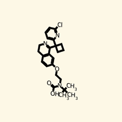 CC(C)(C)N(CCOc1ccc2c(c1)C(C1(c3cccc(Cl)n3)CCC1)=NCC2)C(=O)O